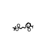 CC(C)(C)OC(=O)CCCn1cccc(I)c1=O